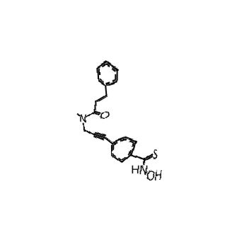 CN(CC#Cc1ccc(C(=S)NO)cc1)C(=O)C=Cc1ccccc1